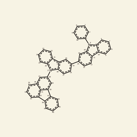 c1ccc(-n2c3ccccc3c3ccc(-c4ccc5c(c4)c4ccccc4n5-c4cc5c6c(ccnc6c4)-c4ccccc4-5)cc32)cc1